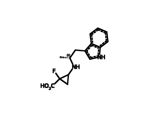 C[C@H](Cc1c[nH]c2ccccc12)NC1CC1(F)C(=O)O